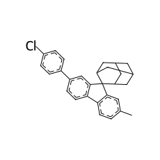 Cc1ccc2c(c1)C1(c3cc(-c4ccc(Cl)cc4)ccc3-2)C2CC3CC(C2)CC1C3